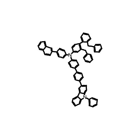 c1ccc(Cc2ccccc2-c2ccc(N(c3ccc(-c4ccc(-c5ccc6c(c5)c5ccccc5n6-c5ccccc5)cc4)cc3)c3ccc(-c4ccc5ccccc5c4)cc3)cc2Cc2ccccc2)cc1